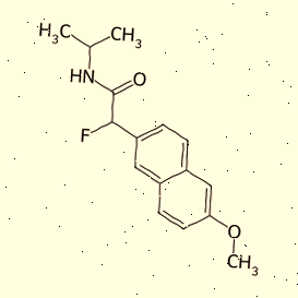 COc1ccc2cc(C(F)C(=O)NC(C)C)ccc2c1